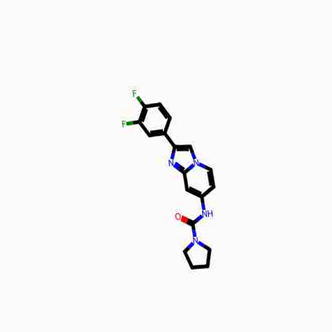 O=C(Nc1ccn2cc(-c3ccc(F)c(F)c3)nc2c1)N1CCCC1